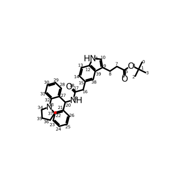 CC(C)(C)OC(=O)CCc1c[nH]c2ccc(CC(=O)NC(c3ccccc3)c3ccccc3N3CCCC3)cc12